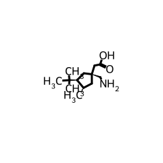 C[C@H]1C[C@@](CN)(CC(=O)O)C[C@@H]1C(C)(C)C